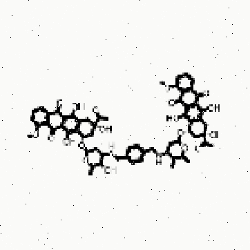 COc1cccc2c1C(=O)c1c(O)c3c(c(O)c1C2=O)C[C@@](O)(C(C)=O)C[C@@H]3OC1CC(NCc2ccc(CNC3CC(O[C@H]4C[C@](O)(C(C)=O)Cc5c(O)c6c(c(O)c54)C(=O)c4c(OC)cccc4C6=O)OC(C)C3O)cc2)C(C)C(C)O1